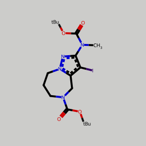 CN(C(=O)OC(C)(C)C)c1nn2c(c1I)CN(C(=O)OC(C)(C)C)CCC2